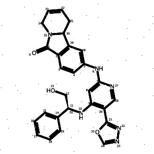 O=C1c2ccc(Nc3cc(N[C@H](CO)c4ccccc4)c(-c4nnco4)cn3)cc2C2CC=CCN12